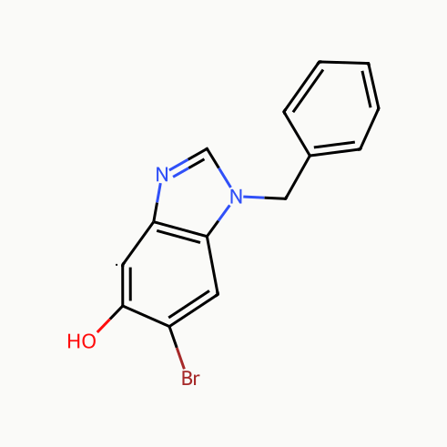 Oc1[c]c2ncn(Cc3ccccc3)c2cc1Br